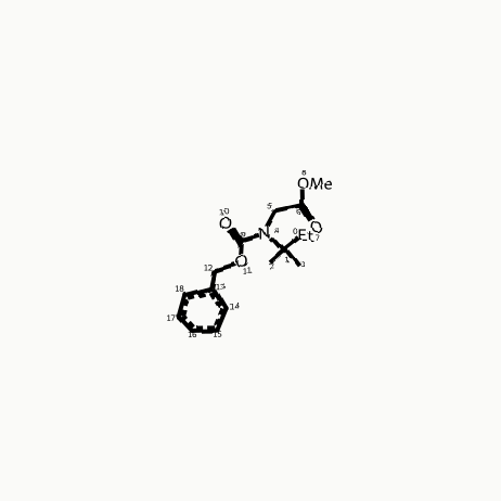 CCC(C)(C)N(CC(=O)OC)C(=O)OCc1ccccc1